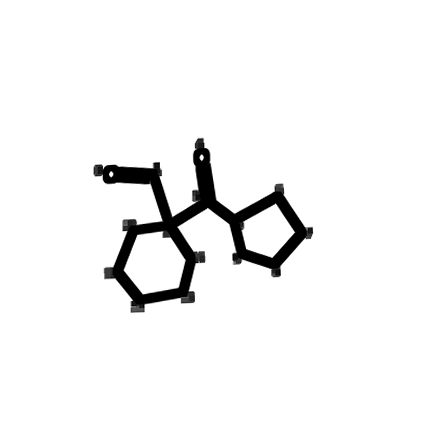 O=[C]C1(C(=O)C2CCCC2)CCCCC1